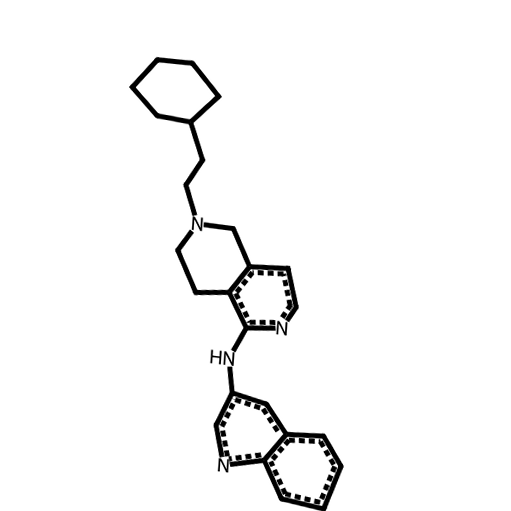 c1ccc2ncc(Nc3nccc4c3CCN(CCC3CCCCC3)C4)cc2c1